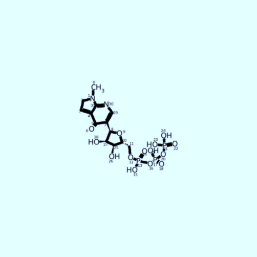 CN1CC=C2C(=O)C([C@H]3O[C@H](COP(=O)(O)OP(=O)(O)OP(=O)(O)O)[C@@H](O)[C@H]3O)=CN=C21